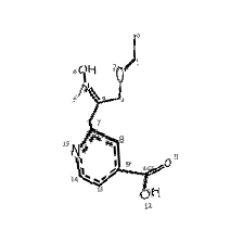 CCOC/C(=N\O)c1cc(C(=O)O)ccn1